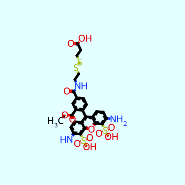 COC(=O)c1cc(C(=O)NCCSSCCC(=O)O)ccc1-c1c2ccc(=N)c(S(=O)(=O)O)c-2oc2c(S(=O)(=O)O)c(N)ccc12